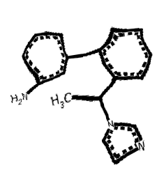 CC(c1ccccc1-c1cccc(N)c1)n1ccnc1